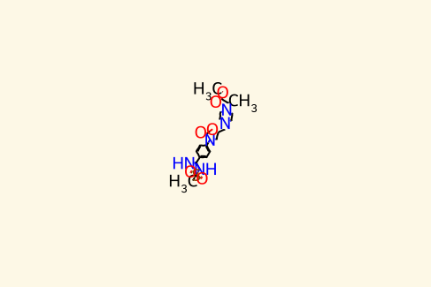 COC(=O)C(C)N1CCN(CC2CN(c3ccc(C(=N)NS(C)(=O)=O)cc3)C(=O)O2)CC1